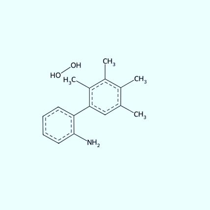 Cc1cc(-c2ccccc2N)c(C)c(C)c1C.OO